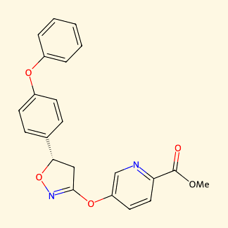 COC(=O)c1ccc(OC2=NO[C@H](c3ccc(Oc4ccccc4)cc3)C2)cn1